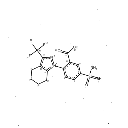 B=S(N)(=O)c1ccc(-n2nc(C(F)(F)F)c3c2CCCC3)c(C(=O)O)c1